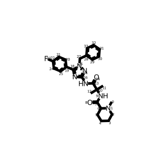 CN1CCCCC1C(=O)NC(C)(C)C(=O)Nc1nc(-c2ccc(F)cc2)n(Cc2ccccc2)n1